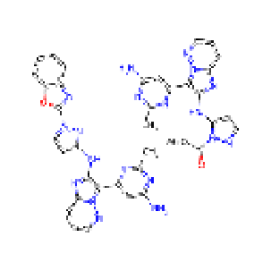 COC(=O)n1nccc1Nc1nc2cccnn2c1-c1cc(N)nc(C)n1.Cc1nc(N)cc(-c2c(Nc3ccn(-c4nc5ccccc5o4)n3)nc3cccnn23)n1